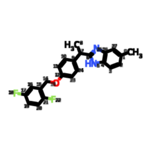 Cc1ccc2[nH]c(C(C)c3ccc(OCc4cc(F)ccc4F)cc3)nc2c1